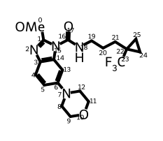 COc1nc2ccc(N3CCOCC3)cc2n1C(=O)NCCCC1(C(F)(F)F)CC1